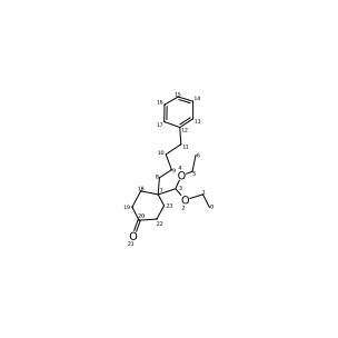 CCOC(OCC)C1(CCCCc2ccccc2)CCC(=O)CC1